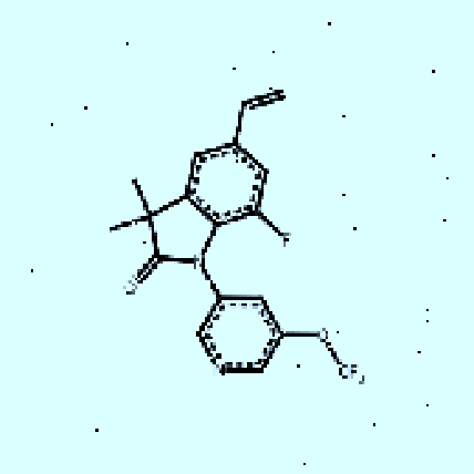 C=Cc1cc(F)c2c(c1)C(C)(C)C(=O)N2c1cncc(OC(F)(F)F)c1